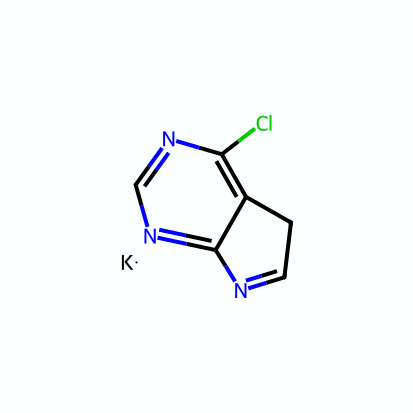 Clc1ncnc2c1CC=N2.[K]